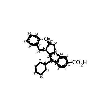 O=C(O)c1ccc2c(C3CCCCC3)c3n(c2c1)CC(=O)N3Cc1ccccc1